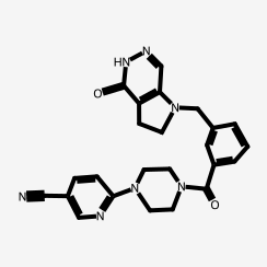 N#Cc1ccc(N2CCN(C(=O)c3cccc(CN4CCc5c4cn[nH]c5=O)c3)CC2)nc1